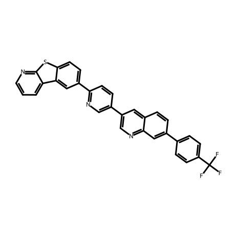 FC(F)(F)c1ccc(-c2ccc3cc(-c4ccc(-c5ccc6sc7ncccc7c6c5)nc4)cnc3c2)cc1